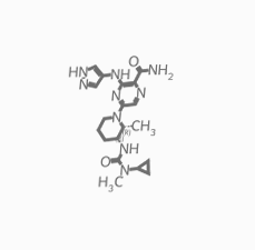 C[C@@H]1[C@H](NC(=O)N(C)C2CC2)CCCN1c1cnc(C(N)=O)c(Nc2cn[nH]c2)n1